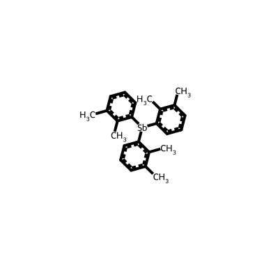 Cc1ccc[c]([Sb]([c]2cccc(C)c2C)[c]2cccc(C)c2C)c1C